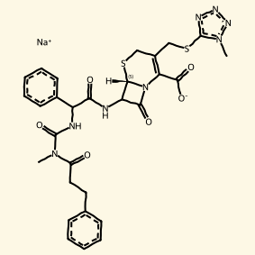 CN(C(=O)CCc1ccccc1)C(=O)NC(C(=O)NC1C(=O)N2C(C(=O)[O-])=C(CSc3nnnn3C)CS[C@@H]12)c1ccccc1.[Na+]